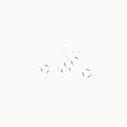 COC[C@H]1CNC(=O)c2c(OCc3ccccc3)c(=O)c(C(=O)NCc3ccc(F)cc3F)cn21